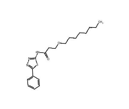 CCCCCCCCOCCC(=O)Nc1nnc(-c2ccccc2)s1